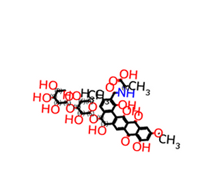 COc1cc(O)c2c(c1)C(=O)c1c(cc3c(c1O)-c1c(cc(C)c(C(=O)N[C@H](C)C(=O)O)c1O)[C@H](O[C@@H]1O[C@H](C)[C@H](O)[C@H](O[C@@H]4OC[C@@H](O)[C@H](O)[C@H]4O)[C@H]1O)[C@H]3O)C2=O